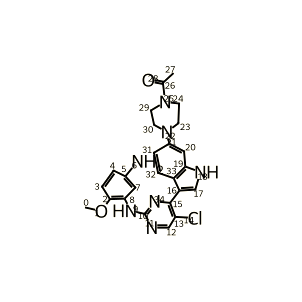 COc1ccc(N)cc1Nc1ncc(Cl)c(-c2c[nH]c3cc(N4CCN(C(C)=O)CC4)ccc23)n1